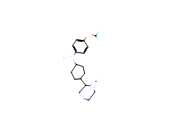 CC(C)N1CCN(C=O)CC1C1CCC(Nc2ccc(OC(F)F)cc2)CC1